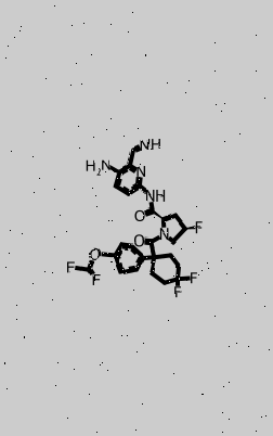 N=Cc1nc(NC(=O)[C@H]2C[C@@H](F)CN2C(=O)C2(c3ccc(OC(F)F)cc3)CCC(F)(F)CC2)ccc1N